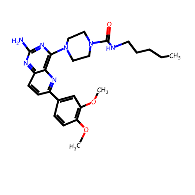 CCCCCNC(=O)N1CCN(c2nc(N)nc3ccc(-c4ccc(OC)c(OC)c4)nc23)CC1